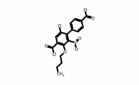 CCCCOc1c(C(=O)Cl)cc(Cl)c(-c2ccc(C(=O)Cl)cc2)c1[N+](=O)[O-]